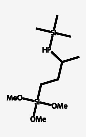 CO[Si](CCC(C)P[Si](C)(C)C)(OC)OC